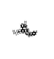 CC(C)(C)Oc1cc(-c2ccnc3[nH]ccc23)cc(N2CCN(S(=O)(=O)Cc3ccc(F)cc3)CC2C(F)(F)F)n1